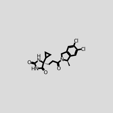 C[C@@H]1c2cc(Cl)c(Cl)cc2CN1C(=O)CC[C@@]1(C2CC2)NC(=O)NC1=O